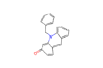 O=c1ccc2cc3ccccc3n(Cc3ccccc3)c-2c1